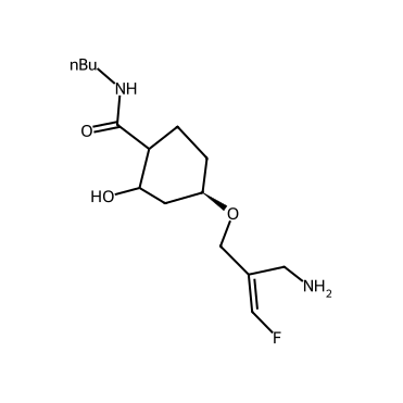 CCCCNC(=O)C1CC[C@@H](OC/C(=C/F)CN)CC1O